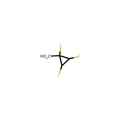 O=C(O)C1(F)C(F)C1F